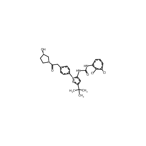 CC(C)(C)c1cc(NC(=O)Nc2cccc(Cl)c2Cl)n(-c2ccc(CC(=O)N3CC[C@@H](O)C3)cc2)n1